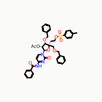 CC(=O)O[C@H]1[C@H](n2ccc(NC(=O)c3ccccc3)nc2=O)O[C@](CCOS(=O)(=O)c2ccc(C)cc2)(COCc2ccccc2)[C@H]1OCc1ccccc1